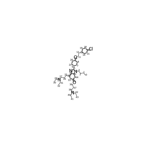 CCCCn1c(-c2ccc(OCCc3ccc(Cl)cc3)cc2)nc2c(CCCN(CC)CC)cc(OCCCN(CC)CC)cc21